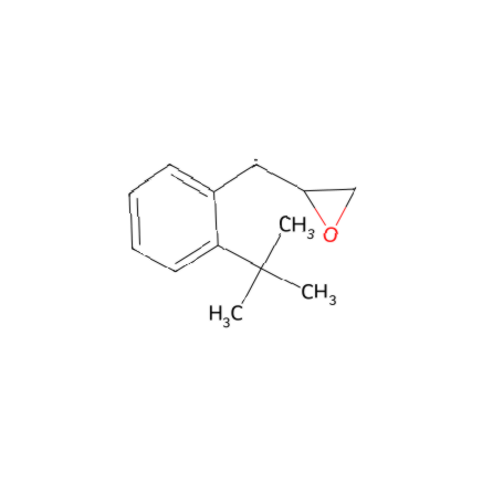 CC(C)(C)c1ccccc1[CH]C1CO1